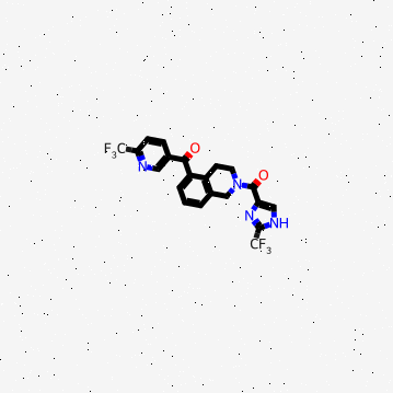 O=C(c1ccc(C(F)(F)F)nc1)c1cccc2c1CCN(C(=O)c1c[nH]c(C(F)(F)F)n1)C2